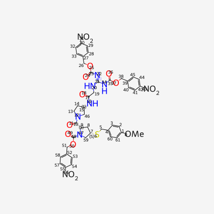 COc1ccc(CS[C@H]2C[C@@H](C(=O)N3CC[C@H](NC(=O)CN/C(=N\C(=O)OCc4ccc([N+](=O)[O-])cc4)NC(=O)OCc4ccc([N+](=O)[O-])cc4)C3)N(C(=O)OCc3ccc([N+](=O)[O-])cc3)C2)cc1